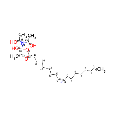 CCCCCCCC/C=C\CCCCCCCC(=O)OC(O)(CC)N(C(C)O)C(C)O